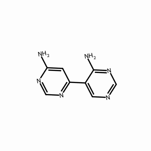 Nc1cc(-c2cncnc2N)ncn1